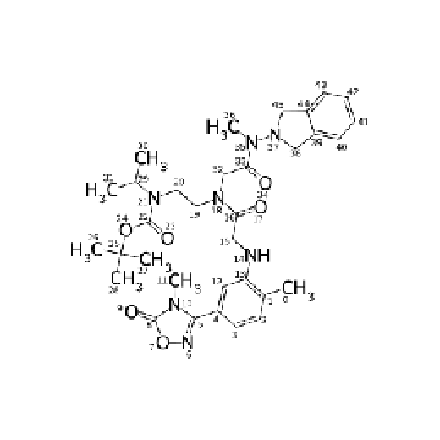 Cc1ccc(-c2noc(=O)n2C)cc1NCC(=O)N(CCN(C(=O)OC(C)(C)C)C(C)C)CC(=O)N(C)N1Cc2ccccc2C1